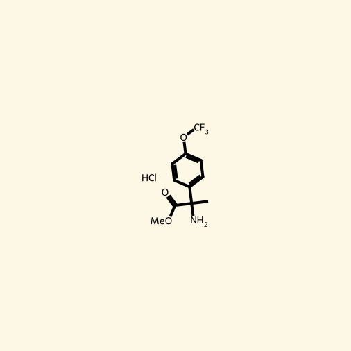 COC(=O)C(C)(N)c1ccc(OC(F)(F)F)cc1.Cl